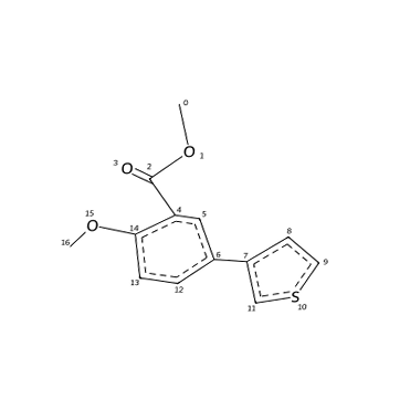 COC(=O)c1cc(-c2ccsc2)ccc1OC